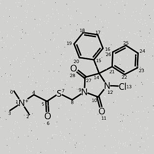 C[N+](C)(C)CC(=O)SCN1C(=O)N(Cl)C(c2ccccc2)(c2ccccc2)C1=O